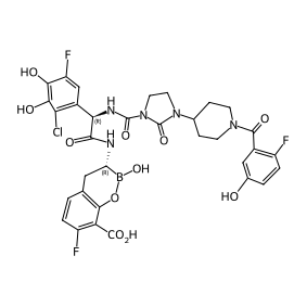 O=C(O)c1c(F)ccc2c1OB(O)[C@@H](NC(=O)[C@H](NC(=O)N1CCN(C3CCN(C(=O)c4cc(O)ccc4F)CC3)C1=O)c1cc(F)c(O)c(O)c1Cl)C2